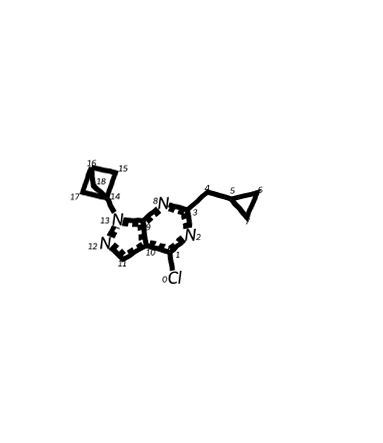 Clc1nc(CC2CC2)nc2c1cnn2C12CC(C1)C2